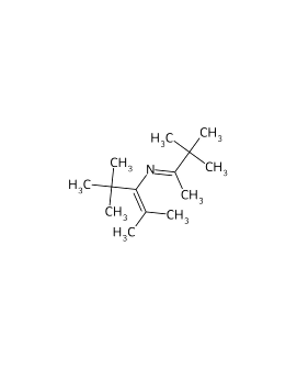 CC(C)=C(/N=C(\C)C(C)(C)C)C(C)(C)C